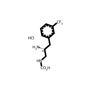 Cl.N[C@@H](CNC(=O)O)Cc1cccc(C(F)(F)F)c1